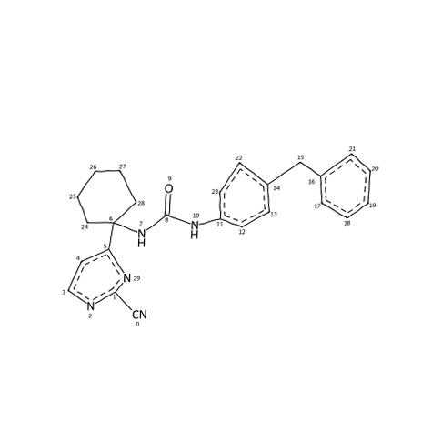 N#Cc1nccc(C2(NC(=O)Nc3ccc(Cc4ccccc4)cc3)CCCCC2)n1